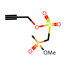 C#CCOS(=O)(=O)CP(C)(=O)OC